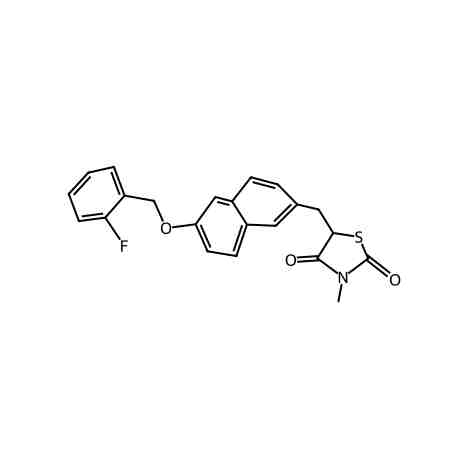 CN1C(=O)SC(Cc2ccc3cc(OCc4ccccc4F)ccc3c2)C1=O